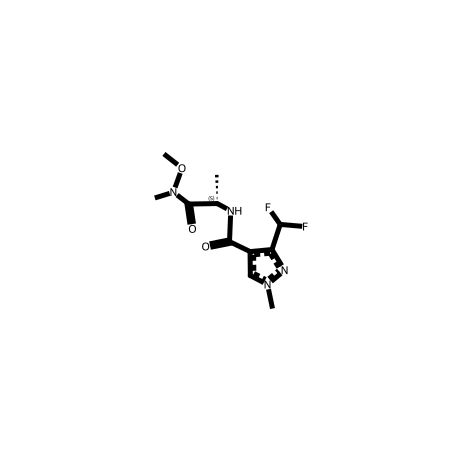 CON(C)C(=O)[C@H](C)NC(=O)c1cn(C)nc1C(F)F